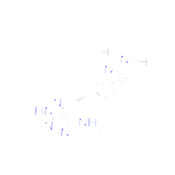 CN(C)c1nc2cc(C#Cc3n[nH]c4ncnc(N)c34)ccc2o1